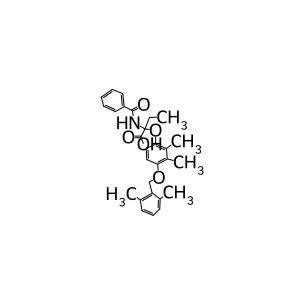 CCC(NC(=O)c1ccccc1)(Oc1ccc(OCc2c(C)cccc2C)c(C)c1C)C(=O)O